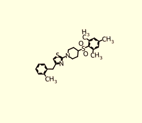 Cc1cc(C)c(S(=O)(=O)C2CCN(c3nc(Cc4ccccc4C)cs3)CC2)c(C)c1